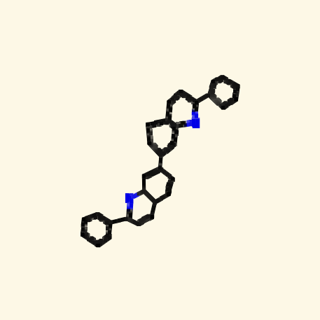 C1=CC2C=CC(c3ccccc3)=NC2C=C1c1ccc2ccc(-c3ccccc3)nc2c1